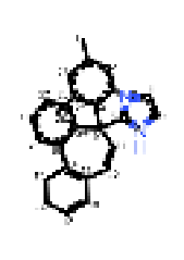 Cc1ccc(C2(c3ncc[nH]3)C=CC3=C(CCC=C3)c3ccccc32)c(C)c1